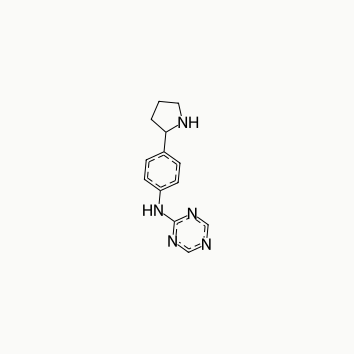 c1ncnc(Nc2ccc(C3CCCN3)cc2)n1